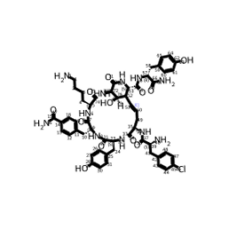 NCCCC[C@@H]1NC(=O)[C@@H](Cc2ccc(C(N)=O)cc2)NC(=O)[C@H](Cc2ccc(O)cc2)NC(=O)[C@H](NC(=O)[C@@H](N)Cc2ccc(Cl)cc2)C/C=C/C2[C@@H](C(=O)N[C@H](Cc3ccc(O)cc3)C(N)=O)NC(=O)[C@@H](NC1=O)[C@@H]2O